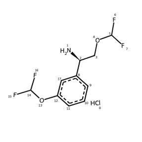 Cl.N[C@@H](COC(F)F)c1cccc(OC(F)F)c1